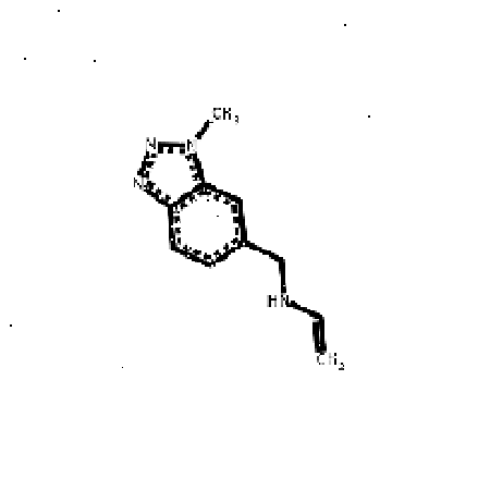 C=CNCc1ccc2nnn(C)c2c1